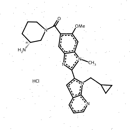 COc1cc2c(cc1C(=O)N1CCC[C@@H](N)C1)nc(-c1cc3cccnc3n1CC1CC1)n2C.Cl